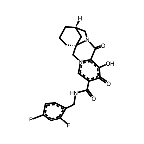 O=C(NCc1ccc(F)cc1F)c1cn2c(c(O)c1=O)C(=O)N1C[C@H]3CCC[C@@]1(C3)C2